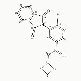 O=C(OC1CCC1)c1ccc(F)c(N2C(=O)c3ccccc3C2=O)c1